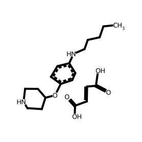 CCCCCNc1ccc(OC2CCNCC2)cc1.O=C(O)C=CC(=O)O